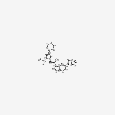 O=C(Nc1cn(C2CCCCC2)nc1C(F)F)c1ccn2ccc(N3CC4OCC43)nc12